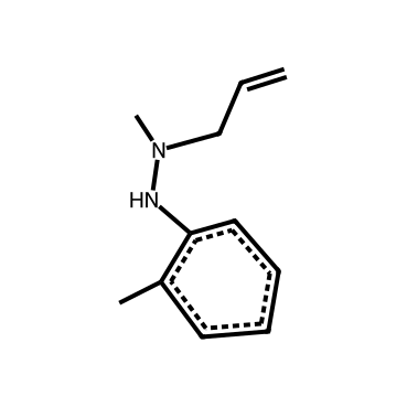 C=CCN(C)Nc1ccccc1C